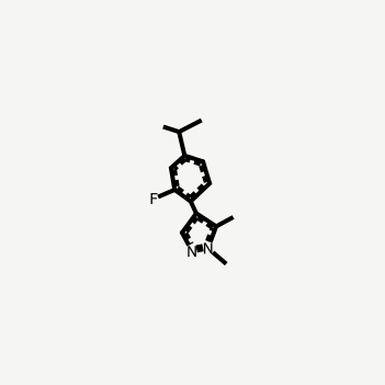 Cc1c(-c2ccc(C(C)C)cc2F)cnn1C